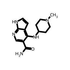 CN1CCC(Nc2c(C(N)=O)cnc3[nH]ccc23)CC1